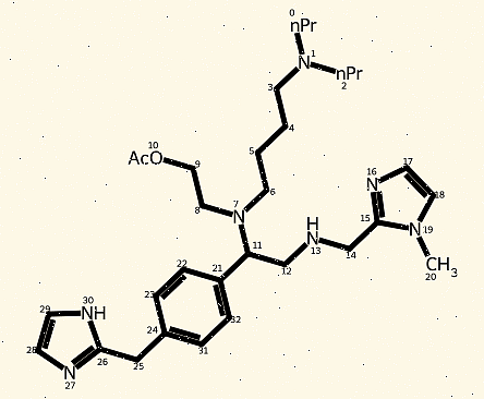 CCCN(CCC)CCCCN(CCOC(C)=O)C(CNCc1nccn1C)c1ccc(Cc2ncc[nH]2)cc1